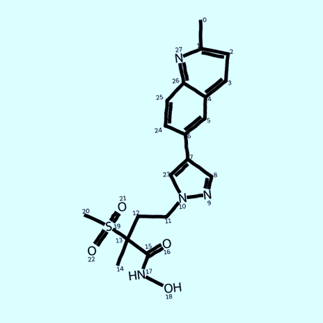 Cc1ccc2cc(-c3cnn(CCC(C)(C(=O)NO)S(C)(=O)=O)c3)ccc2n1